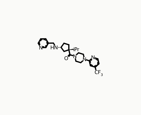 CC(C)[C@]1(C(=O)N2CCN(c3cc(C(F)(F)F)ccn3)CC2)CC[C@@H](NCc2cccnc2)C1